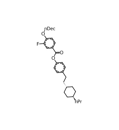 CCCCCCCCCCOc1ccc(C(=O)Oc2ccc(CC[C@H]3CC[C@H](CCC)CC3)cc2)cc1F